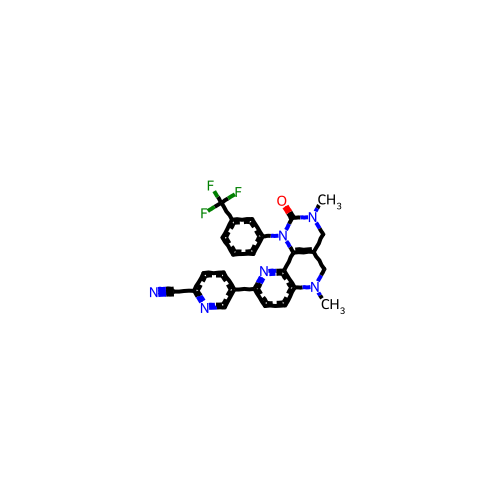 CN1CC2=C(c3nc(-c4ccc(C#N)nc4)ccc3N(C)C2)N(c2cccc(C(F)(F)F)c2)C1=O